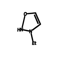 CCN1C=CON1